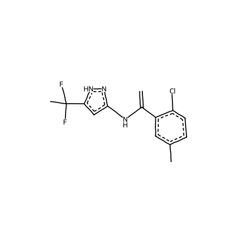 C=C(Nc1cc(C(C)(F)F)[nH]n1)c1cc(C)ccc1Cl